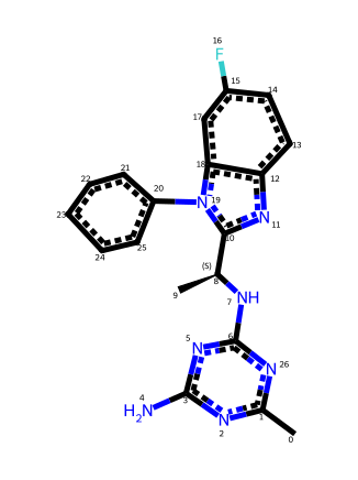 Cc1nc(N)nc(N[C@@H](C)c2nc3ccc(F)cc3n2-c2ccccc2)n1